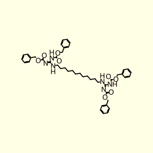 O=C(N=C(NCCCCCCCCCCCCNC(=NC(=O)OCc1ccccc1)NC(=O)OCc1ccccc1)NC(=O)OCc1ccccc1)OCc1ccccc1